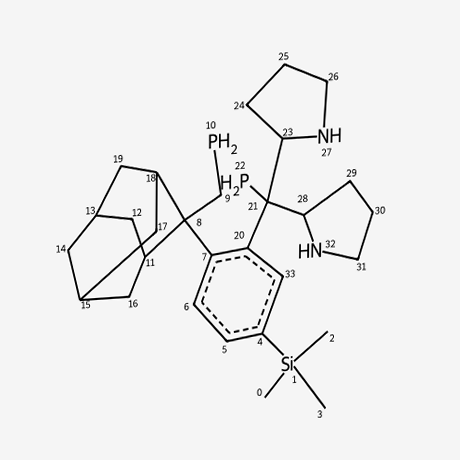 C[Si](C)(C)c1ccc(C2(CP)C3CC4CC(C3)CC2C4)c(C(P)(C2CCCN2)C2CCCN2)c1